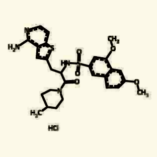 COc1ccc2cc(S(=O)(=O)NC(Cc3cc4c(N)nccc4s3)C(=O)N3CCC(C)CC3)cc(OC)c2c1.Cl